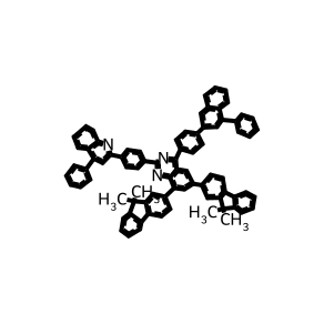 CC1(C)c2ccccc2-c2ccc(-c3cc(-c4ccc5c(c4)C(C)(C)c4ccccc4-5)c4nc(-c5ccc(-c6cc(-c7ccccc7)c7ccccc7n6)cc5)nc(-c5ccc(-c6cc(-c7ccccc7)c7ccccc7c6)cc5)c4c3)cc21